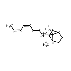 C/C=C\C=C/CC/N=C1\CC2CC[C@]1(C)C2(C)C